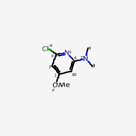 COc1cc(Cl)nc(N(C)C)c1